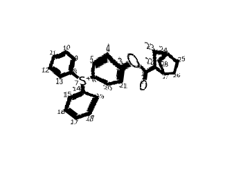 O=C(Oc1ccc([S+](c2ccccc2)c2ccccc2)cc1)C1CC2CCC1C2